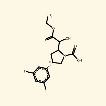 CCOC(=O)C(O)C1C[C@@H](c2cc(F)cc(F)c2)CN1C(=O)O